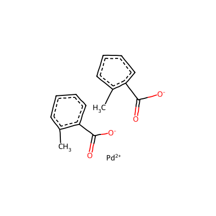 Cc1ccccc1C(=O)[O-].Cc1ccccc1C(=O)[O-].[Pd+2]